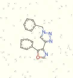 [c]1nc(-c2cn(Cc3ccccc3)nn2)c(-c2ccccc2)o1